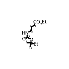 CCOC(=O)CCCNC(=O)OC(C)(C)CC